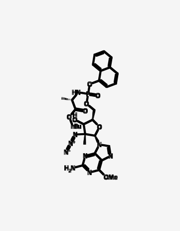 CCCCOC(=O)[C@H](C)NP(=O)(OC[C@H]1O[C@@H](n2cnc3c(OC)nc(N)nc32)[C@](C)(N=[N+]=[N-])C1O)Oc1cccc2ccccc12